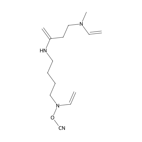 C=CN(C)CCC(=C)NCCCCN(C=C)OC#N